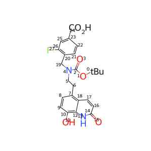 CC(C)(C)OC(=O)N(CCc1ccc(O)c2[nH]c(=O)ccc12)Cc1ccc(C(=O)O)cc1F